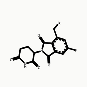 O=C1CCC(N2C(=O)c3cc(F)cc(CBr)c3C2=O)C(=O)N1